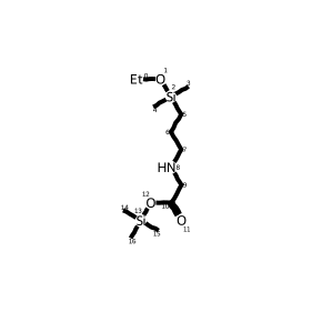 CCO[Si](C)(C)CCCNCC(=O)O[Si](C)(C)C